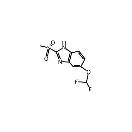 CS(=O)(=O)c1nc2cc(OC(F)F)ccc2[nH]1